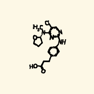 CN(c1nc(Nc2ccc(CCC(=O)O)cc2)ncc1Cl)[C@@H]1CCCO1